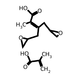 C=C(C)C(=O)O.CC(C(=O)O)=C(CC1CO1)CC1CO1